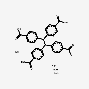 O=C(O)c1ccc(C(c2ccc(C(=O)O)cc2)C(c2ccc(C(=O)O)cc2)c2ccc(C(=O)O)cc2)cc1.[NaH].[NaH].[NaH].[NaH]